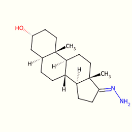 C[C@]12CC[C@@H](O)C[C@@H]1CC[C@@H]1[C@@H]2CC[C@]2(C)/C(=N/N)CC[C@@H]12